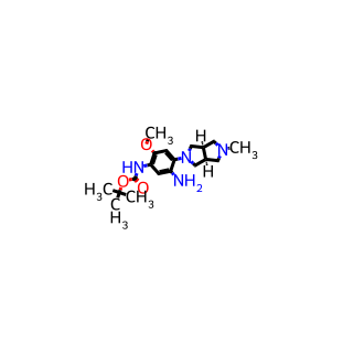 COc1cc(N2C[C@H]3CN(C)C[C@H]3C2)c(N)cc1NC(=O)OC(C)(C)C